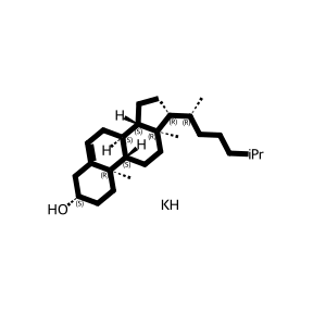 CC(C)CCC[C@@H](C)[C@H]1CC[C@H]2[C@@H]3CC=C4C[C@@H](O)CC[C@]4(C)[C@H]3CC[C@]12C.[KH]